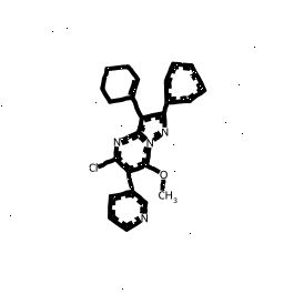 COc1c(-c2cccnc2)c(Cl)nc2c(C3=CCCCC3)c(-c3ccccc3)nn12